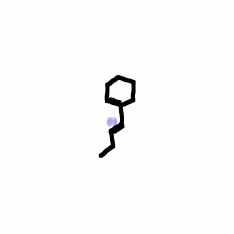 CC/C=C/C1=CCCCC1